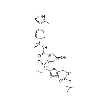 Cc1ncsc1-c1ccc([C@H](C)NC(=O)[C@@H]2C[C@@H](O)CN2C(=O)[C@H](c2cc(CN(C)C(=O)OC(C)(C)C)no2)C(C)C)cc1